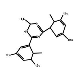 CC1C(C(C)(C)C)=CC(C(C)(C)C)=CC1C1=NC(N)NC(C2=CC(C(C)(C)C)=CC(C(C)(C)C)C2C)=N1